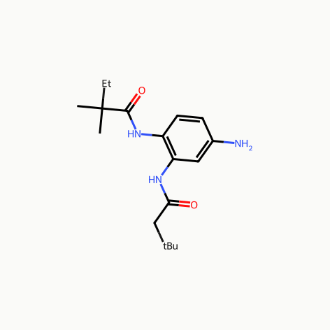 CCC(C)(C)C(=O)Nc1ccc(N)cc1NC(=O)CC(C)(C)C